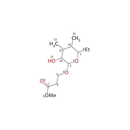 CCC1OC(OCCC(=O)OC)C(O)C(C)C1C